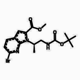 COC(=O)c1cc2ccc(Br)nc2n1[C@H](C)CNC(=O)OC(C)(C)C